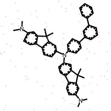 CN(C)c1ccc2c(c1)C(C)(C)c1cc(N(c3ccc(-c4cccc(-c5ccccc5)c4)cc3)c3ccc4c(c3)C(C)(C)c3cc(N(C)C)ccc3-4)ccc1-2